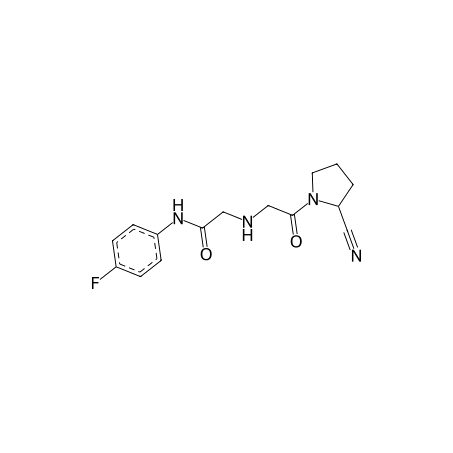 N#CC1CCCN1C(=O)CNCC(=O)Nc1ccc(F)cc1